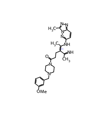 COc1cccc(CN2CCN(C(=O)CC/C(C(C)=N)=C(\C)Nc3ccc4nnc(C)n4n3)CC2)c1